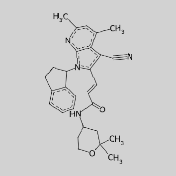 Cc1cc(C)c2c(C#N)c(C=CC(=O)NC3CCOC(C)(C)C3)n(C3CCc4ccccc43)c2n1